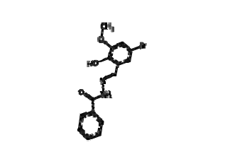 COc1cc(Br)cc(C=NNC(=O)c2ccccc2)c1O